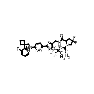 C=C(OC(C)(C)C)N1CC(F)(F)CC1C(=O)NCc1cnc(-c2ccc(NCC3(c4ncccc4F)CCC3)nn2)s1